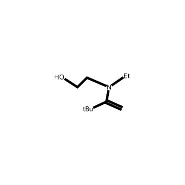 C=C(N(CC)CCO)C(C)(C)C